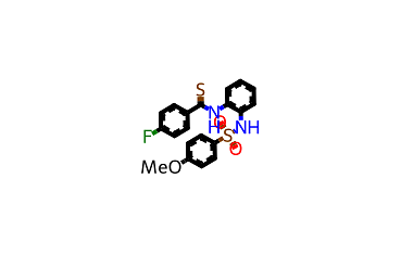 COc1ccc(S(=O)(=O)Nc2ccccc2NC(=S)c2ccc(F)cc2)cc1